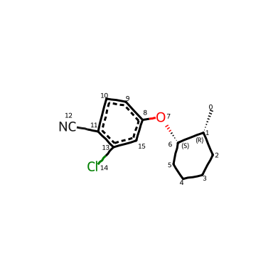 C[C@@H]1CCCC[C@@H]1Oc1ccc(C#N)c(Cl)c1